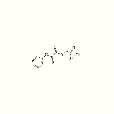 CC(C)(C)COC(=O)C(=O)Oc1ccccc1